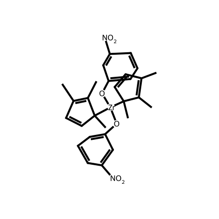 CC1=C(C)[C](C)([Zr]([O]c2cccc([N+](=O)[O-])c2)([O]c2cccc([N+](=O)[O-])c2)[C]2(C)C=CC(C)=C2C)C=C1